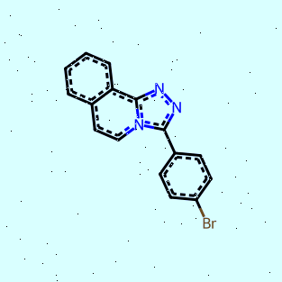 Brc1ccc(-c2nnc3c4ccccc4ccn23)cc1